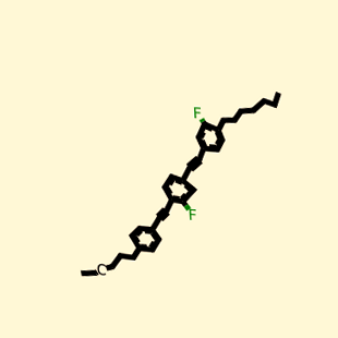 CCCCCCCc1ccc(C#Cc2ccc(C#Cc3ccc(CCCCCC)cc3)c(F)c2)cc1F